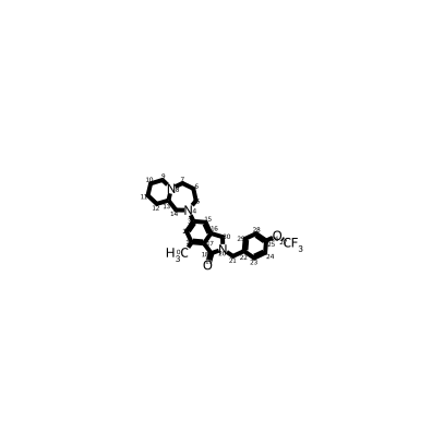 Cc1cc(N2CCCN3CCCCC3C2)cc2c1C(=O)N(Cc1ccc(OC(F)(F)F)cc1)C2